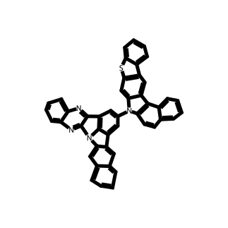 c1ccc2cc3c(cc2c1)c1cc(-n2c4cc5sc6ccccc6c5cc4c4c5ccccc5ccc42)cc2c4nc5ccccc5nc4n3c12